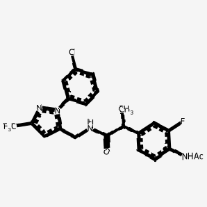 CC(=O)Nc1ccc(C(C)C(=O)NCc2cc(C(F)(F)F)nn2-c2cccc(Cl)c2)cc1F